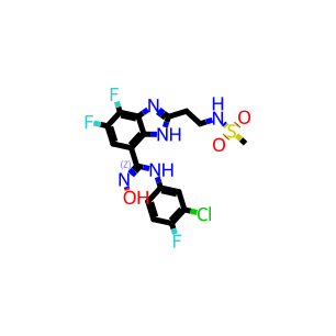 CS(=O)(=O)NCCc1nc2c(F)c(F)cc(/C(=N/O)Nc3ccc(F)c(Cl)c3)c2[nH]1